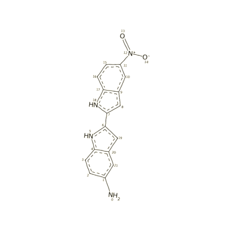 Nc1ccc2[nH]c(-c3cc4cc([N+](=O)[O-])ccc4[nH]3)cc2c1